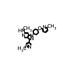 CNc1cc2c(cn1)c(-c1cnn(C)c1)nn2[C@H]1CC[C@@H](Oc2cccc(C)n2)CC1